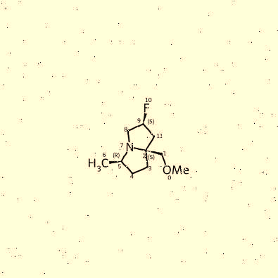 COC[C@@]12CC[C@@H](C)N1C[C@@H](F)C2